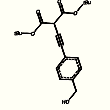 CC(C)(C)OC(=O)C(C#Cc1ccc(CO)cc1)C(=O)OC(C)(C)C